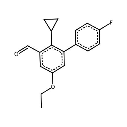 CCOc1cc(C=O)c(C2CC2)c(-c2ccc(F)cc2)c1